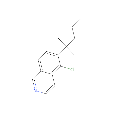 CCCC(C)(C)c1ccc2cnccc2c1Cl